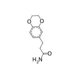 NC(=O)CCc1ccc2c(c1)OCCO2